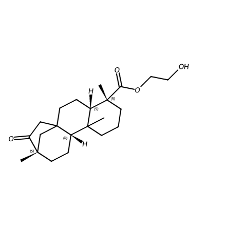 CC12CCC[C@@](C)(C(=O)OCCO)[C@H]1CCC13CC(=O)[C@@](C)(CC[C@H]12)C3